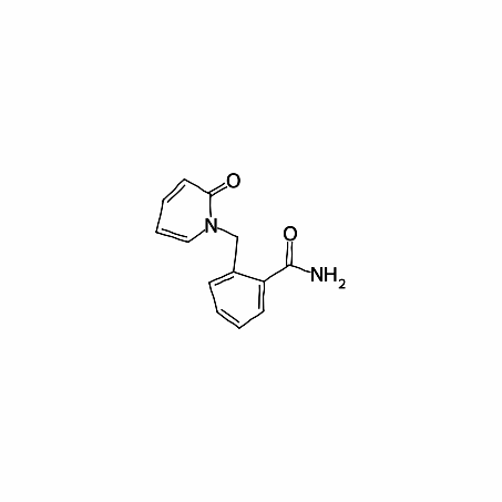 NC(=O)c1ccccc1Cn1ccccc1=O